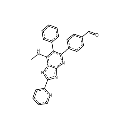 CNc1c(-c2ccccc2)c(-c2ccc(C=O)cc2)nc2nc(-c3ccccn3)nn12